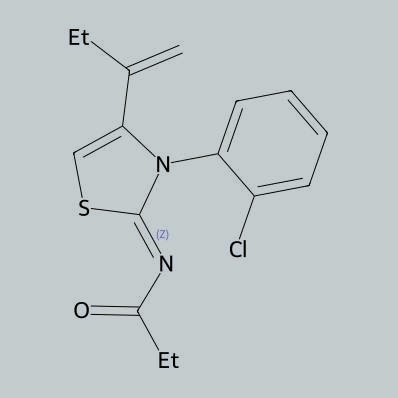 C=C(CC)c1cs/c(=N\C(=O)CC)n1-c1ccccc1Cl